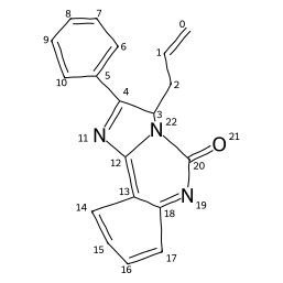 C=CCC1C(c2ccccc2)=Nc2c3ccccc3nc(=O)n21